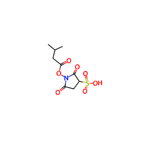 CC(C)CC(=O)ON1C(=O)CC(S(=O)(=O)O)C1=O